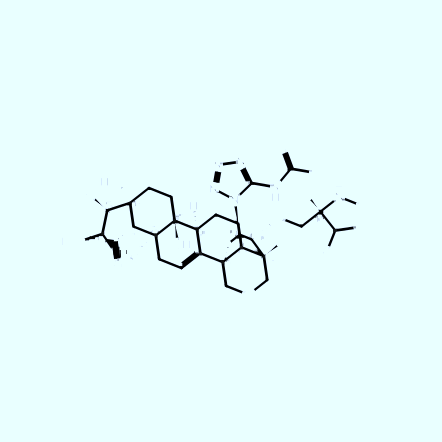 CN[C@@](C)(CO[C@H]1[C@H](n2nnnc2NC(C)=O)C[C@@]23COC[C@]1(C)[C@@H]2CC[C@H]1C3=CC[C@@]2(C)[C@H](C(=O)O)[C@@](C)([C@H](C)C(C)C)CC[C@]12C)C(C)C